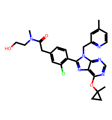 Cc1ccnc(Cn2c(-c3ccc(CC(=O)N(C)CCO)cc3Cl)nc3c(OC4(C)CC4)ncnc32)c1